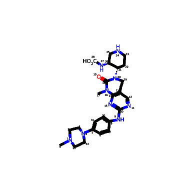 CN1CCN(c2ccc(Nc3ncc4c(n3)N(C)C(=O)N([C@H]3CCNC[C@@H]3NC(=O)O)C4)cc2)CC1